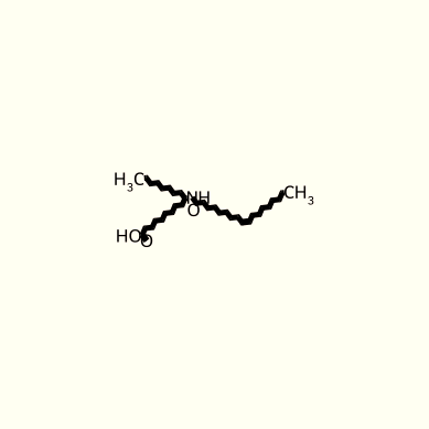 CCCCCCCC/C=C\CCCCCCCC(=O)NC(CCCCCCCC)CCCCCCCCC(=O)O